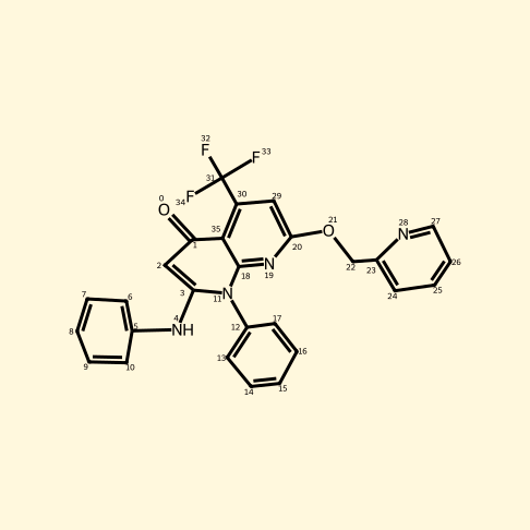 O=c1cc(Nc2ccccc2)n(-c2ccccc2)c2nc(OCc3ccccn3)cc(C(F)(F)F)c12